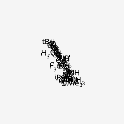 COC(=O)N[C@H](C(=O)N1C[Si](C)(C)C[C@H]1c1nc(-c2ccc(-c3cc(Cl)c(NC(=O)c4ccc(N5CCN(C(=O)OC(C)(C)C)C[C@H]5C)nc4)cc3OC(F)(F)F)cc2)c[nH]1)C(C)C